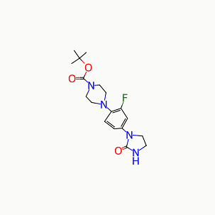 CC(C)(C)OC(=O)N1CCN(c2ccc(N3CCNC3=O)cc2F)CC1